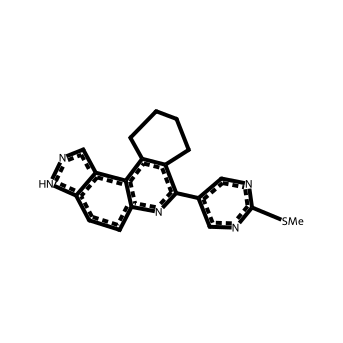 CSc1ncc(-c2nc3ccc4[nH]ncc4c3c3c2CCCC3)cn1